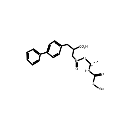 C[C@H](NC(=O)OC(C)(C)C)O[PH](=O)CC(Cc1ccc(-c2ccccc2)cc1)C(=O)O